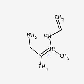 C=CN/[N+](C)=C(/C)CN